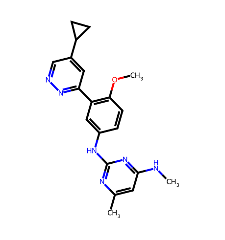 CNc1cc(C)nc(Nc2ccc(OC)c(-c3cc(C4CC4)cnn3)c2)n1